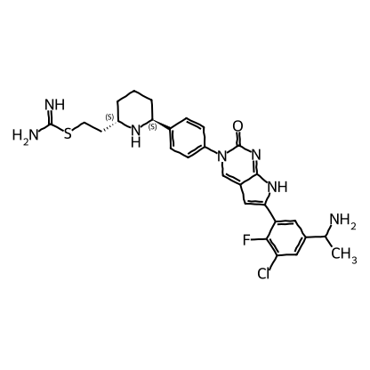 CC(N)c1cc(Cl)c(F)c(-c2cc3cn(-c4ccc([C@@H]5CCC[C@@H](CCSC(=N)N)N5)cc4)c(=O)nc3[nH]2)c1